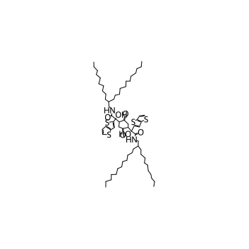 CCCCCCCCCCCCC(CCCCCCCCCC)CNC(=O)C(O)(c1cc2sccc2s1)C1CC(=O)C(C(O)(C(=O)NCC(CCCCCCCCCC)CCCCCCCCCCCC)c2cc3sccc3s2)CC1=O